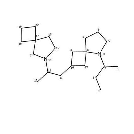 CCC(C)N1CCCC12CC(CC(C)N1CCC3(CCC3)C1)C2